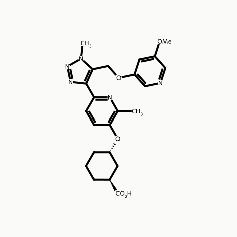 COc1cncc(OCc2c(-c3ccc(O[C@H]4CCC[C@H](C(=O)O)C4)c(C)n3)nnn2C)c1